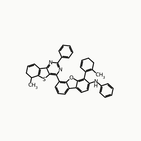 CC1=C(c2c(Nc3ccccc3)ccc3c2oc2c(-c4nc(-c5ccccc5)nc5c6c(sc45)C(C)CC=C6)cccc23)C=CCC1